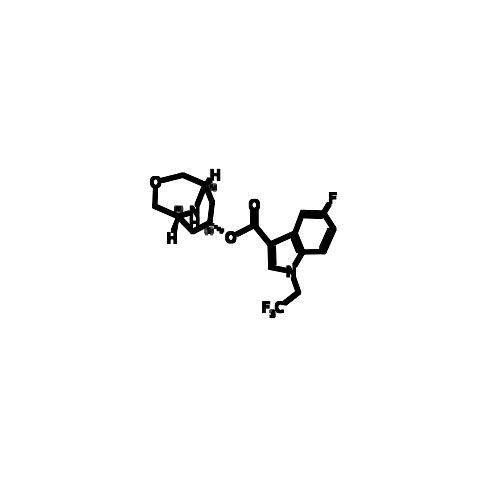 O=C(O[C@H]1C[C@H]2COC[C@@H](C1)N2)c1cn(CC(F)(F)F)c2ccc(F)cc12